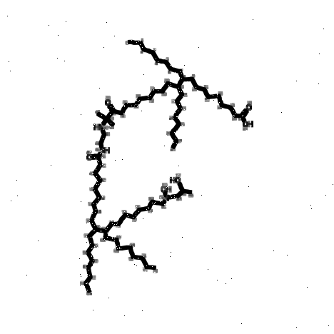 CCCCCCCCC(CCCCCCCCC(=O)O)C(CCCCCCCC)CCCCCCCCC(=O)C(C)(C)NCCNC(=O)CCCCCCCCC(CCCCCCCC)C(CCCCCCCC)CCCCCCCCN(O)CC(C)O